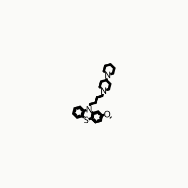 COc1ccc2c(c1)N(CCCCN1CCC(N3CCCCC3)CC1)c1ccccc1S2